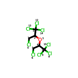 ClCC(OC(CCl)C(Cl)(Cl)Cl)C(Cl)(Cl)Cl